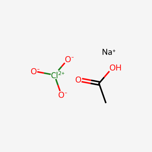 CC(=O)O.[Na+].[O-][Cl+2]([O-])[O-]